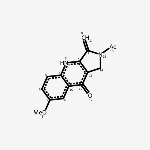 C=C1c2[nH]c3ccc(OC)cc3c(=O)c2CN1C(C)=O